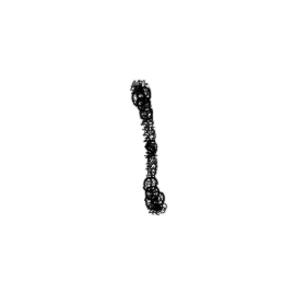 O=C(COCCOCCCCCCCCCCCSSCCCCCCCCCCCOCCOCC(=O)Oc1ccccc1)Oc1ccccc1